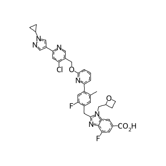 Cc1cc(Cc2nc3c(F)cc(C(=O)O)cc3n2CC2CCO2)c(F)cc1-c1cccc(OCc2cnc(-c3cnn(C4CC4)c3)cc2Cl)n1